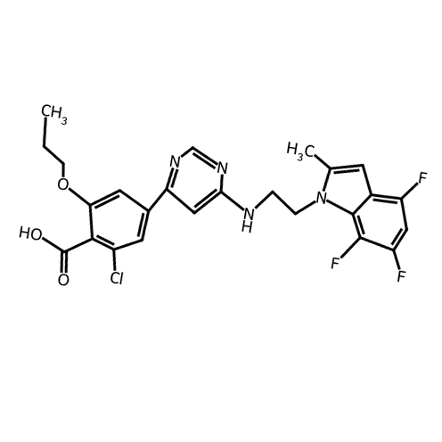 CCCOc1cc(-c2cc(NCCn3c(C)cc4c(F)cc(F)c(F)c43)ncn2)cc(Cl)c1C(=O)O